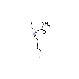 CCCC/C=C(/CC)C(N)=O